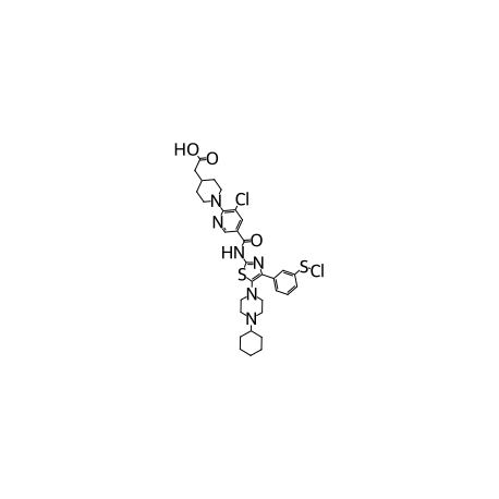 O=C(O)CC1CCN(c2ncc(C(=O)Nc3nc(-c4cccc(SCl)c4)c(N4CCN(C5CCCCC5)CC4)s3)cc2Cl)CC1